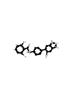 O=C(Nc1ccc(-c2cc3nonc3cc2Cl)cc1)c1c(F)cccc1F